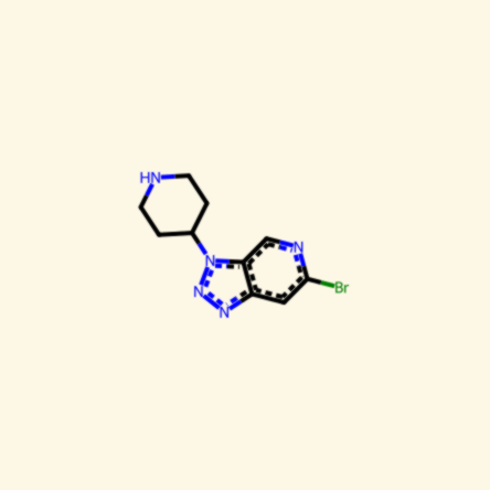 Brc1cc2nnn(C3CCNCC3)c2cn1